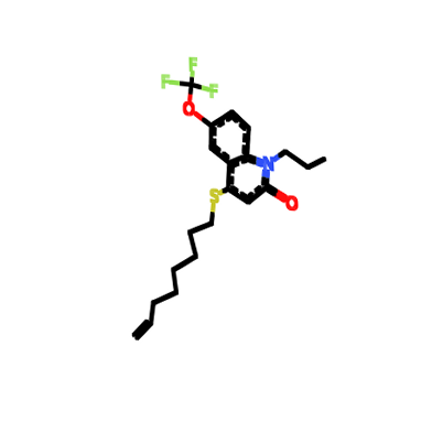 C=CCCCCCCSc1cc(=O)n(CCC)c2ccc(OC(F)(F)F)cc12